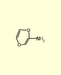 NC1=COC=CO1